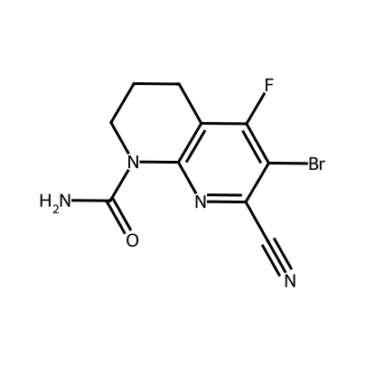 N#Cc1nc2c(c(F)c1Br)CCCN2C(N)=O